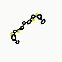 c1ccc(-c2ccc3sc4ccc5c6cc(-c7cccc(-c8ccc9sc%10c(ccc%11sc%12ccc(-c%13ccccc%13)cc%12c%11%10)c9c8)c7)ccc6sc5c4c3c2)cc1